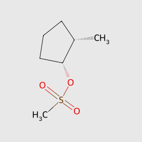 C[C@H]1CCC[C@H]1OS(C)(=O)=O